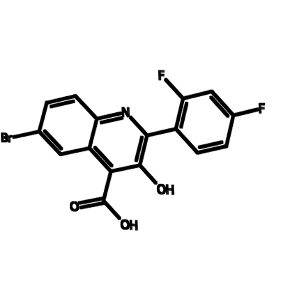 O=C(O)c1c(O)c(-c2ccc(F)cc2F)nc2ccc(Br)cc12